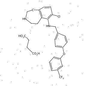 FC(F)(F)c1cccc(Oc2ccc(CNc3c(Cl)ccc4c3CCNCC4)cc2)c1.O=C(O)CCC(=O)O